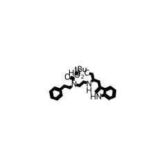 CC(C)(C)OC(=O)N(CCNC(CC(=O)O)Cc1c[nH]c2ccccc12)CCc1ccccc1